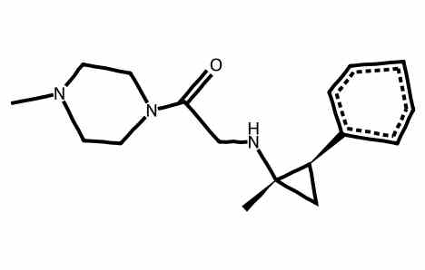 CN1CCN(C(=O)CN[C@@]2(C)C[C@@H]2c2ccccc2)CC1